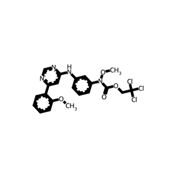 COc1ccccc1-c1cc(Nc2cccc(N(OC)C(=O)OCC(Cl)(Cl)Cl)c2)ncn1